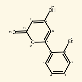 CCc1ccccc1-c1cc(O)cc(=O)o1